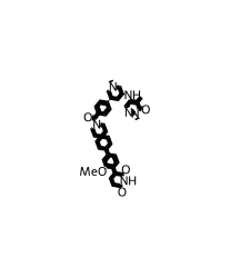 COc1cc(C2CCC3(CC2)CCN(C(=O)c2ccc([C@H]4C[C@@H](Nc5cnn(C)c(=O)c5C)CN(C)C4)cc2)CC3)ccc1C1CCC(=O)NC1=O